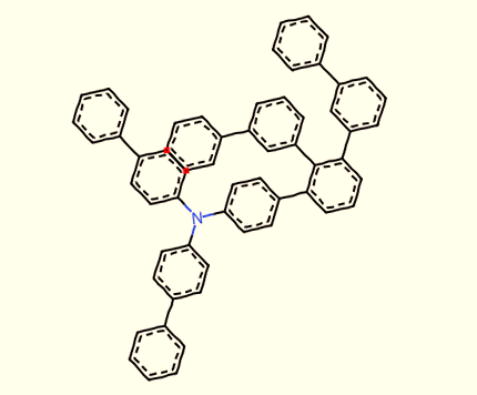 c1ccc(-c2ccc(N(c3ccc(-c4ccccc4)cc3)c3ccc(-c4cccc(-c5cccc(-c6ccccc6)c5)c4-c4cccc(-c5ccccc5)c4)cc3)cc2)cc1